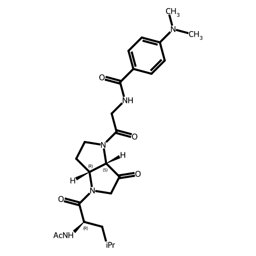 CC(=O)N[C@H](CC(C)C)C(=O)N1CC(=O)[C@@H]2[C@H]1CCN2C(=O)CNC(=O)c1ccc(N(C)C)cc1